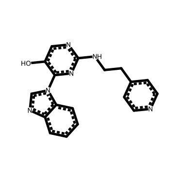 Oc1cnc(NCCc2ccncc2)nc1-n1cnc2ccccc21